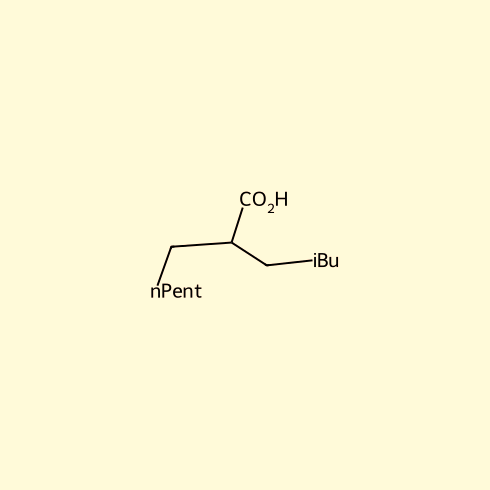 CCCCCCC(CC(C)CC)C(=O)O